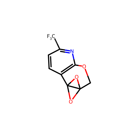 FC(F)(F)c1ccc2c(n1)OCC13OC21O3